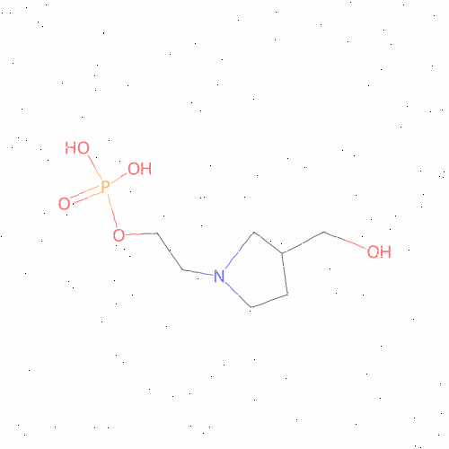 O=P(O)(O)OCCN1CCC(CO)C1